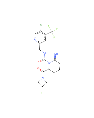 N=C1CCCC(C(=O)N2CC(F)C2)N1C(=O)NCc1cc(C(F)(F)F)c(Cl)cn1